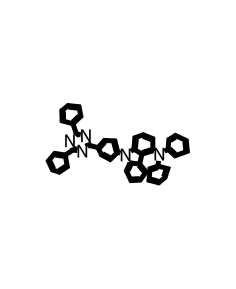 c1ccc(-c2nc(-c3ccccc3)nc(-c3ccc(-n4c5ccccc5c5c(N(c6ccccc6)c6ccccc6)cccc54)cc3)n2)cc1